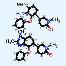 CNc1ccc(-c2ccc(=O)n(C)c2)c(Oc2ccccc2)c1N.Cc1nc2c(Oc3ccccc3)c(-c3ccc(=O)n(C)c3)ccc2n1C